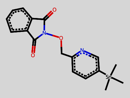 [CH3][Sn]([CH3])([CH3])[c]1ccc(CON2C(=O)c3ccccc3C2=O)nc1